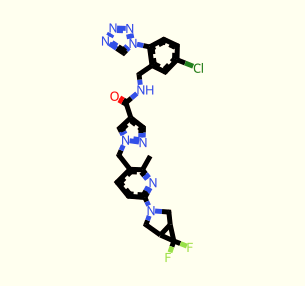 Cc1nc(N2CC3C(C2)C3(F)F)ccc1Cn1cc(C(=O)NCc2cc(Cl)ccc2-n2cnnn2)cn1